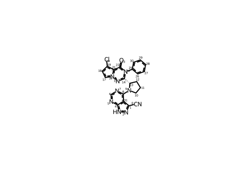 N#Cc1n[nH]c2ncnc(N3CCC[C@H]3c3nn4ccc(Cl)c4c(=O)n3-c3ccccc3)c12